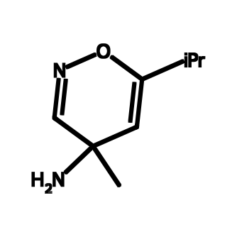 CC(C)C1=CC(C)(N)C=NO1